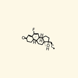 C=C=C[C@]1(O)CC[C@H]2[C@@H]3C=C(F)C4=CC(=O)CC[C@]4(C)[C@H]3CC[C@@]21C